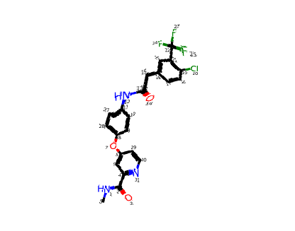 CNC(=O)c1cc(Oc2ccc(NC(=O)Cc3ccc(Cl)c(C(F)(F)F)c3)cc2)ccn1